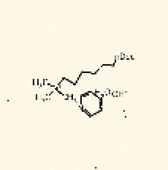 CCCCCCCCCCCCCCCC[N+](C)(C)C.O.[OH-].c1ccncc1